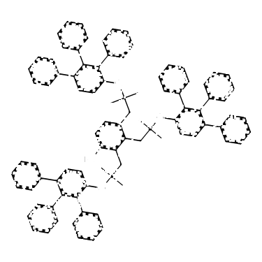 CC(C)(Cc1ccc(O)c(CC(C)(C)Oc2ccc(-c3ccccc3)c(-c3ccccc3)c2-c2ccccc2)c1CC(C)(C)Oc1ccc(-c2ccccc2)c(-c2ccccc2)c1-c1ccccc1)Oc1ccc(-c2ccccc2)c(-c2ccccc2)c1-c1ccccc1